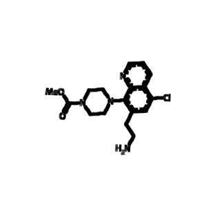 COC(=O)N1CCN(c2c(CCN)cc(Cl)c3cccnc23)CC1